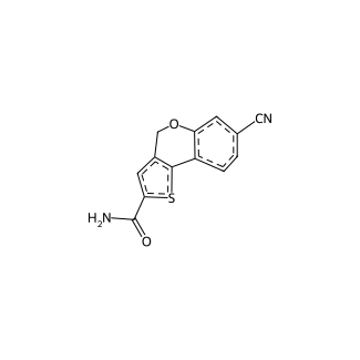 N#Cc1ccc2c(c1)OCc1cc(C(N)=O)sc1-2